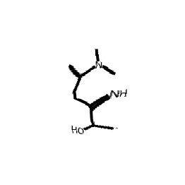 [CH2]C(O)C(=N)CC(C)N(C)C